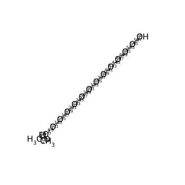 CCC(C)(C)C(=O)OCCCOCCCOCCCOCCCOCCCOCCCOCCCOCCCOCCCOCCCOCCCOCCCOCCCO